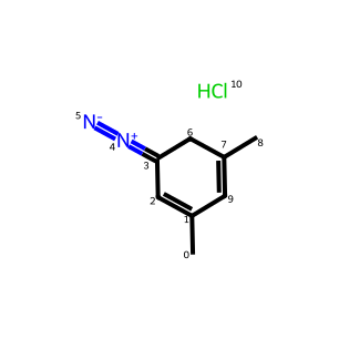 CC1=CC(=[N+]=[N-])CC(C)=C1.Cl